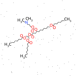 CCCCCCCC(=O)OCCCCCCCC(CCC(=O)OC(COC(=O)CCCCCCC)COC(=O)CCCCCCC)OC(=O)OCCCN(CC)CC